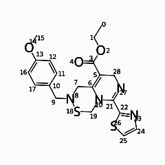 CCOC(=O)C1=C2CN(Cc3ccc(OC)cc3)SCN2C(c2nccs2)=NC1